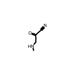 CNCC(=O)C#N